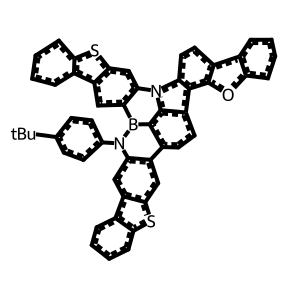 CC(C)(C)c1ccc(N2B3c4cc5c(cc4-n4c6ccc7c8ccccc8oc7c6c6ccc(c3c64)-c3cc4sc6ccccc6c4cc32)sc2ccccc25)cc1